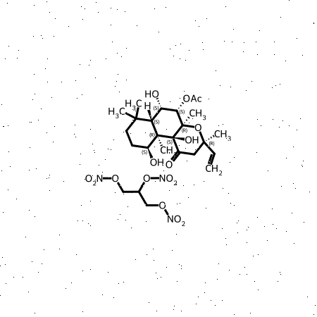 C=C[C@@]1(C)CC(=O)[C@]2(O)[C@@]3(C)[C@@H](O)CCC(C)(C)[C@@H]3[C@H](O)[C@H](OC(C)=O)[C@@]2(C)O1.O=[N+]([O-])OCC(CO[N+](=O)[O-])O[N+](=O)[O-]